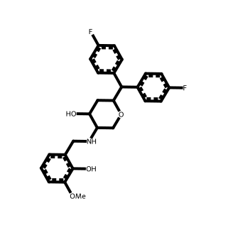 COc1cccc(CNC2COC(C(c3ccc(F)cc3)c3ccc(F)cc3)CC2O)c1O